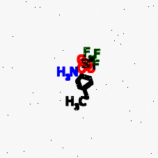 CCc1ccc(OS(=O)(=O)C(F)(F)F)cc1.N